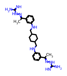 C/C(=N\NC(=N)N)c1cccc(NCC2CCC(CNc3cccc(/C(C)=N/NC(=N)N)c3)CC2)c1